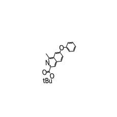 Cc1nc(C(=O)OC(C)(C)C)cc2ccc(Oc3ccccc3)cc12